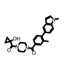 Cc1cc(C(=O)N2CCN(C(=O)C3(O)CC3)CC2)ccc1-c1ccc2c(ccn2C)c1